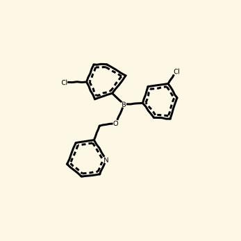 Clc1cccc(B(OCc2ccccn2)c2cccc(Cl)c2)c1